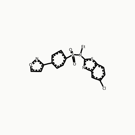 CCN(c1nc2cc(Cl)ccc2s1)S(=O)(=O)c1ccc(-c2ccon2)cc1